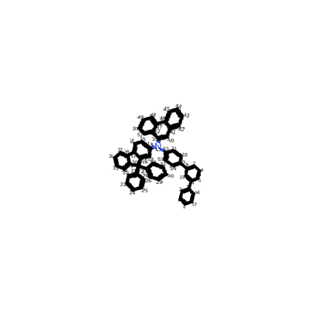 c1ccc(-c2cccc(-c3ccc(N(c4ccc5c(c4)C(c4ccccc4)(c4ccccc4)c4ccccc4-5)c4cc5ccccc5c5ccccc45)cc3)c2)cc1